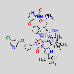 CNC(=O)c1cc(Oc2ccc(NC(=O)N(c3cc(C(C)(C)C)nn3-c3cccc(CC(N)=O)c3)N(C(=O)Nc3cccc(Oc4cncc(Cl)c4)c3)c3cc(C(C)(C)C)nn3-c3ccc4c(c3)CCNC4)cc2)ccn1